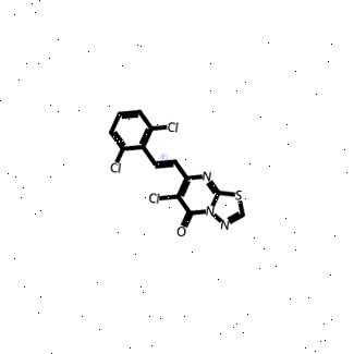 O=c1c(Cl)c(/C=C/c2c(Cl)cccc2Cl)nc2scnn12